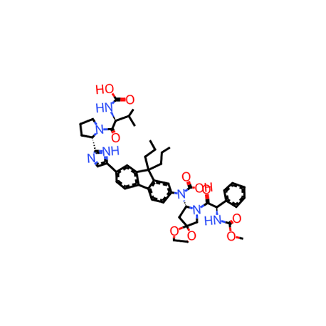 CCCC1(CCC)c2cc(-c3cnc([C@@H]4CCCN4C(=O)[C@@H](NC(=O)O)C(C)C)[nH]3)ccc2-c2ccc(N(C(=O)O)[C@H]3CC4(CN3C(=O)[C@H](NC(=O)OC)c3ccccc3)OCCO4)cc21